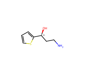 NCC[C@H](O)c1cccs1